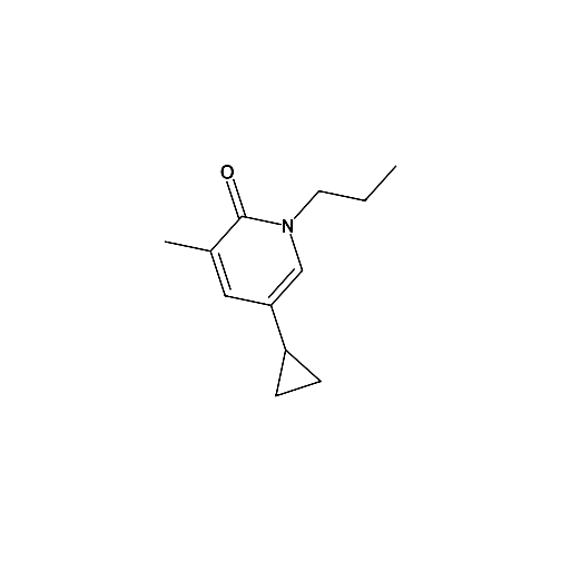 CCCn1cc(C2CC2)cc(C)c1=O